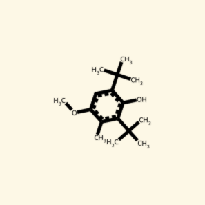 COc1cc(C(C)(C)C)c(O)c(C(C)(C)C)c1C